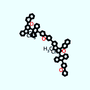 CC1(C)c2cc(-c3ccc4c(c3)oc3cc(-c5c6ccccc6c(-c6c7c(cc8c6oc6c9ccccc9ccc86)-c6ccccc6C7(C)C)c6ccccc56)ccc34)ccc2-c2c1cc(-c1c3ccccc3c(-c3ccc4c(c3)oc3ccccc34)c3ccccc13)c1oc3cc4ccccc4cc3c21